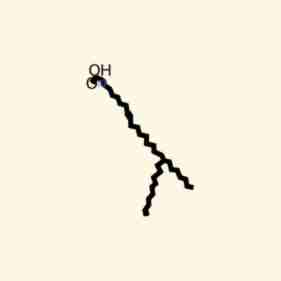 C=CCCCCCCCCC(CCCCCCC)CCCCCCCCC#CCCCCC/C=C/C(=O)O